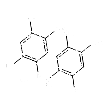 Cc1cc(C)c(C(=O)[O-])cc1Br.Cc1cc(C)c(C(=O)[O-])cc1Br.[Ca+2]